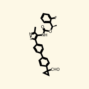 Cc1nsc(-c2ccc(-c3ccc(C4(C=O)CC4)cc3)cc2)c1NC(=O)O[C@H](C)c1ccccc1F